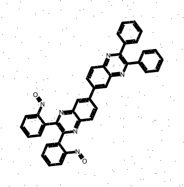 O=Nc1ccccc1-c1nc2ccc(-c3ccc4nc(-c5ccccc5)c(-c5ccccc5)nc4c3)cc2nc1-c1ccccc1N=O